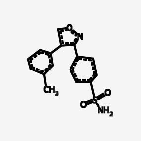 Cc1cccc(-c2conc2-c2ccc(S(N)(=O)=O)cc2)c1